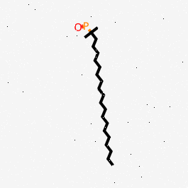 CCCCCCCCCCCCCCCCCCCC(C)(C)P=O